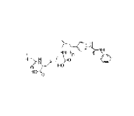 CC(C)CC(C(=O)NC(CCSCC(NC(=O)CC(C)(C)C)C(=O)O)C(=O)O)c1ccc(NC(=S)Nc2ccccc2)cc1